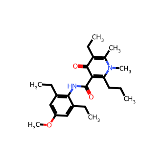 CCCc1c(C(=O)Nc2c(CC)cc(OC)cc2CC)c(=O)c(CC)c(C)n1C